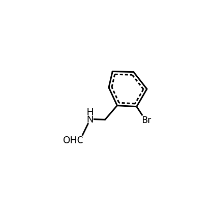 O=CNCc1ccccc1Br